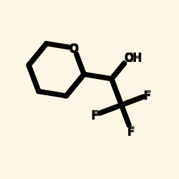 OC(C1CCCCO1)C(F)(F)F